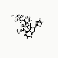 CN(c1cccc2cc(-c3nccs3)[nH]c12)S(=O)(=O)c1ccsc1CS(C)(=O)=O